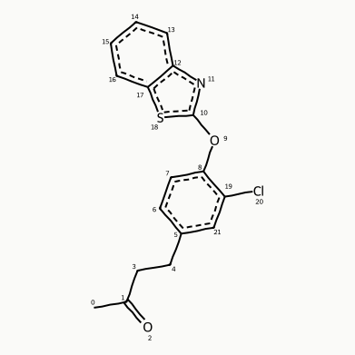 CC(=O)CCc1ccc(Oc2nc3ccccc3s2)c(Cl)c1